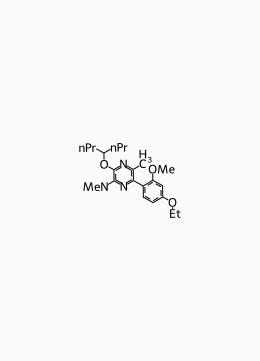 CCCC(CCC)Oc1nc(C)c(-c2ccc(OCC)cc2OC)nc1NC